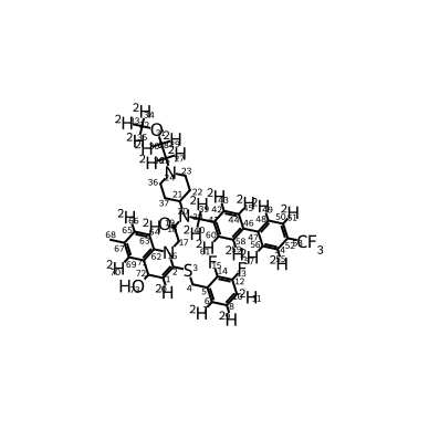 [2H]C1=C(SCc2c([2H])c([2H])c([2H])c(F)c2F)N(CC(=O)N(C2CCN(C([2H])([2H])C([2H])([2H])OC([2H])([2H])[2H])CC2)C([2H])([2H])c2c([2H])c([2H])c(-c3c([2H])c([2H])c(C(F)(F)F)c([2H])c3[2H])c([2H])c2[2H])c2c([2H])c([2H])c(C)c([2H])c2C1O